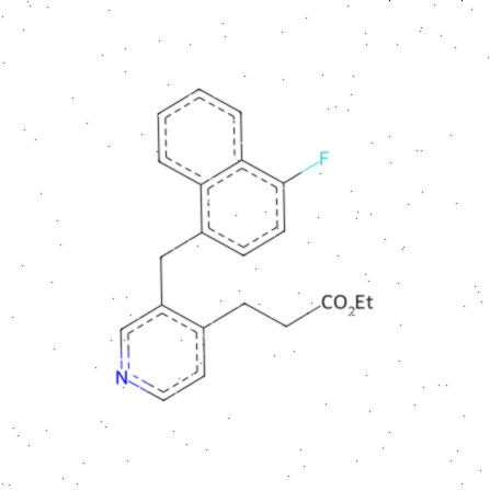 CCOC(=O)CCc1ccncc1Cc1ccc(F)c2ccccc12